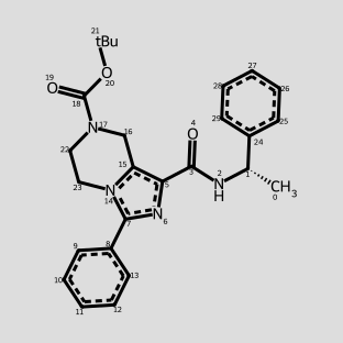 C[C@H](NC(=O)c1nc(-c2ccccc2)n2c1CN(C(=O)OC(C)(C)C)CC2)c1ccccc1